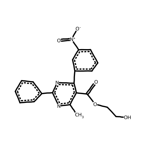 Cc1nc(-c2ccccc2)nc(-c2cccc([N+](=O)[O-])c2)c1C(=O)OCCO